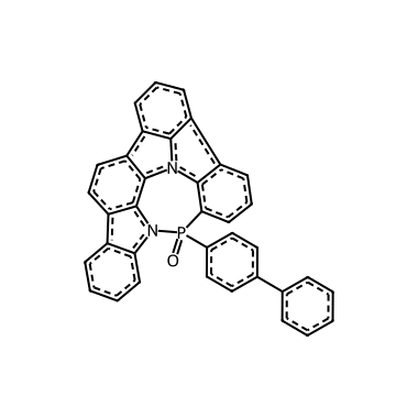 O=P1(c2ccc(-c3ccccc3)cc2)c2cccc3c4cccc5c6ccc7c8ccccc8n1c7c6n(c23)c45